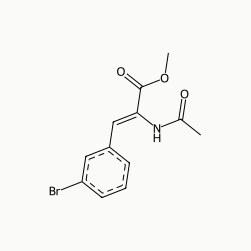 COC(=O)C(=Cc1cccc(Br)c1)NC(C)=O